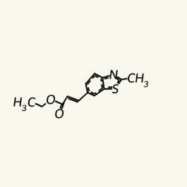 CCOC(=O)/C=C/c1ccc2nc(C)sc2c1